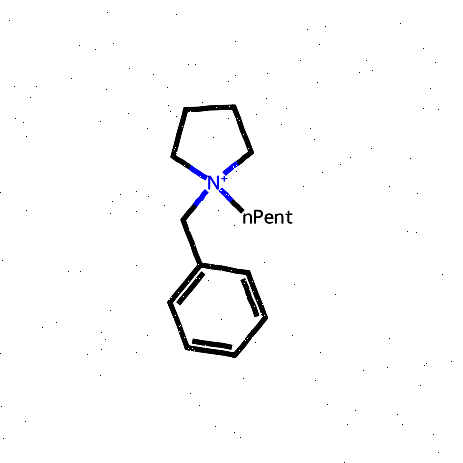 CCCCC[N+]1(Cc2ccccc2)CCCC1